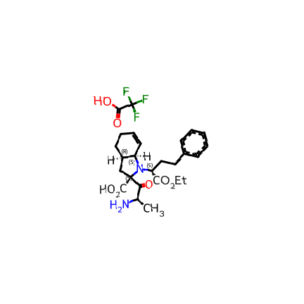 CCOC(=O)[C@H](CCc1ccccc1)N1[C@@H]2C=CCC[C@@H]2C[C@@]1(C(=O)O)C(=O)C(C)N.O=C(O)C(F)(F)F